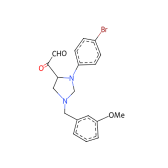 COc1cccc(CN2CC(C(=O)C=O)N(c3ccc(Br)cc3)C2)c1